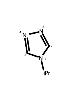 CC(C)N1C=N[N+]=C1